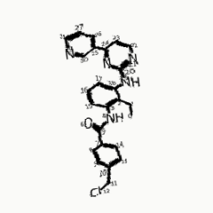 CCc1c(NC(=O)c2ccc(CCl)cc2)cccc1Nc1nccc(-c2cccnc2)n1